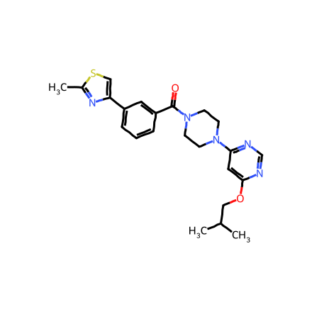 Cc1nc(-c2cccc(C(=O)N3CCN(c4cc(OCC(C)C)ncn4)CC3)c2)cs1